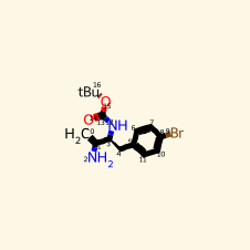 C=C(N)[C@H](Cc1ccc(Br)cc1)NC(=O)OC(C)(C)C